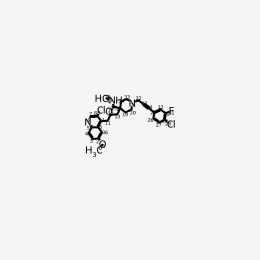 COc1ccc2ncc(Cl)c(CCCC3(C(=O)NO)CCN(CC#Cc4ccc(Cl)c(F)c4)CC3)c2c1